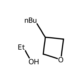 CCCCC1COC1.CCO